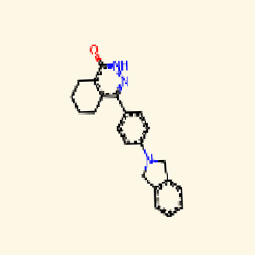 O=c1[nH]nc(-c2ccc(N3Cc4ccccc4C3)cc2)c2c1CCCC2